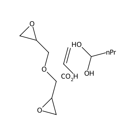 C(OCC1CO1)C1CO1.C=CC(=O)O.CCCC(O)O